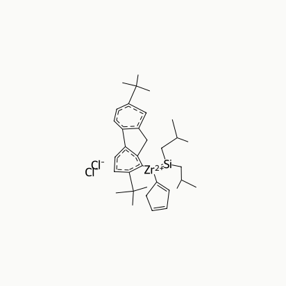 CC(C)C[Si](CC(C)C)=[Zr+2]([C]1=CC=CC1)[c]1c(C(C)(C)C)ccc2c1Cc1cc(C(C)(C)C)ccc1-2.[Cl-].[Cl-]